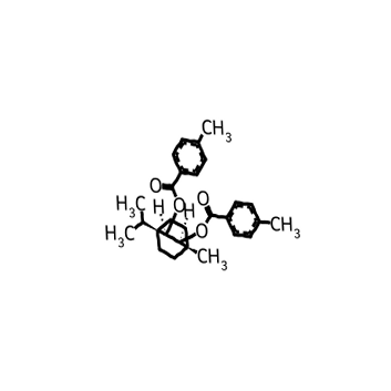 Cc1ccc(C(=O)O[C@@H]2[C@H](OC(=O)c3ccc(C)cc3)[C@]3(C(C)C)CC[C@@]2(C)CC3)cc1